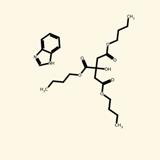 CCCCOC(=O)CC(O)(CC(=O)OCCCC)C(=O)OCCCC.c1ccc2[nH]cnc2c1